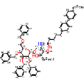 CCCCCc1ccc(-c2ccc(CCCCC(=O)N[C@@H](COC3OC(COCc4ccccc4)C(OCc4ccccc4)C(OCc4ccccc4)C3OCc3ccccc3)[C@H](O)[C@H](O)CCCCC)cc2)cc1